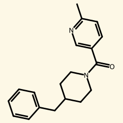 Cc1ccc(C(=O)N2CCC(Cc3ccccc3)CC2)cn1